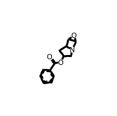 O=C(OC1CC2C3OC3N2C1)c1ccccc1